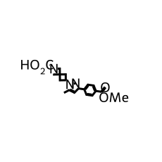 COC(=O)c1ccc(-c2cc(C)n(C3CC4(C3)CN(C(=O)O)C4)n2)cc1